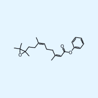 CC(=CC(=O)Oc1ccccc1)CCC=C(C)CCC1(C)OC1(C)C